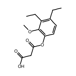 CCc1ccc(OC(=O)CC(=O)O)c(OC)c1CC